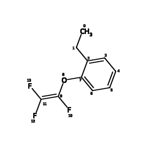 CCc1ccccc1OC(F)=C(F)F